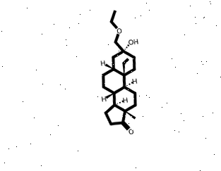 CCOC[C@@]1(O)CC[C@@]2(CC)[C@H](CC[C@@H]3[C@@H]2CC[C@]2(C)C(=O)CC[C@@H]32)C1